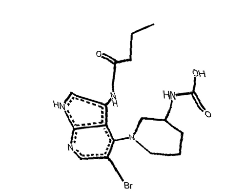 CCCC(=O)Nc1c[nH]c2ncc(Br)c(N3CCCC(NC(=O)O)C3)c12